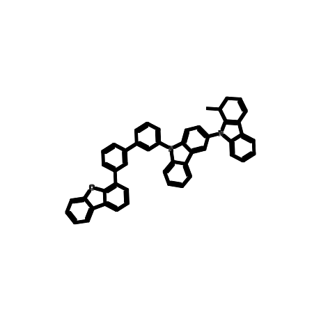 CC1CC=Cc2c1n(-c1ccc3c(c1)c1ccccc1n3-c1cccc(-c3cccc(-c4cccc5c4oc4ccccc45)c3)c1)c1ccccc21